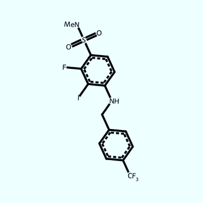 CNS(=O)(=O)c1ccc(NCc2ccc(C(F)(F)F)cc2)c(I)c1F